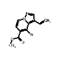 C=Cc1cnn2ccc(C(=O)OC)c(Br)c12